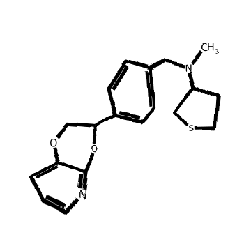 CN(Cc1ccc(C2COc3cccnc3O2)cc1)C1CCSC1